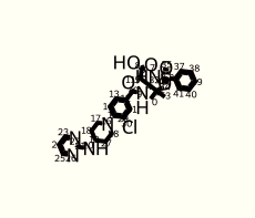 CC(C)(C)C(CC(=O)O)(NC(=O)c1ccc(N2CCC(Nc3ncccn3)CC2)c(Cl)c1)NS(=O)(=O)c1ccccc1